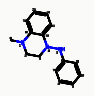 CN1CCN(Nc2ccccc2)c2ccccc21